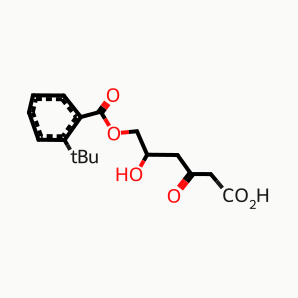 CC(C)(C)c1ccccc1C(=O)OCC(O)CC(=O)CC(=O)O